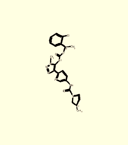 C[C@@H]1CCN(C(=O)Nc2ccc(-c3nnn(C)c3NC(=O)O[C@H](C)c3ccccc3Cl)nc2)C1